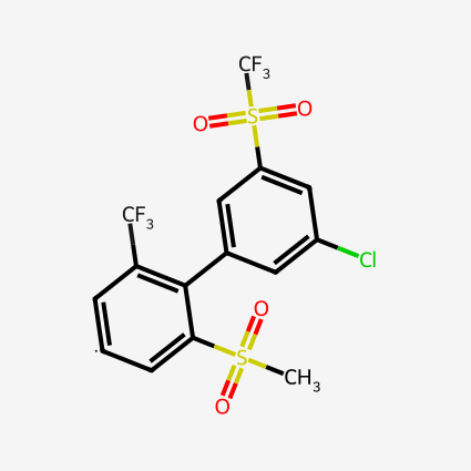 CS(=O)(=O)c1c[c]cc(C(F)(F)F)c1-c1cc(Cl)cc(S(=O)(=O)C(F)(F)F)c1